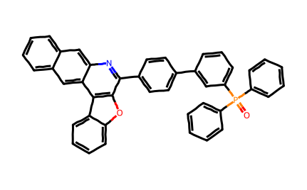 O=P(c1ccccc1)(c1ccccc1)c1cccc(-c2ccc(-c3nc4cc5ccccc5cc4c4c3oc3ccccc34)cc2)c1